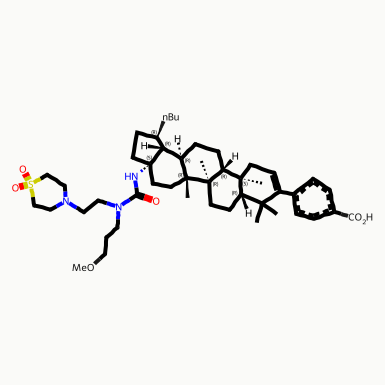 CCCC[C@@H]1CC[C@]2(NC(=O)N(CCCOC)CCN3CCS(=O)(=O)CC3)CC[C@]3(C)[C@H](CC[C@@H]4[C@@]5(C)CC=C(c6ccc(C(=O)O)cc6)C(C)(C)[C@@H]5CC[C@]43C)[C@@H]12